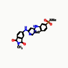 CNS(=O)(=O)c1ccc(SC)c(Nc2cc(Nc3ccc4c(c3)C(=O)N(C)C4=O)ncn2)c1